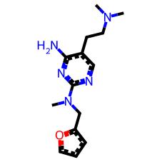 CN(C)CCc1cnc(N(C)Cc2ccco2)nc1N